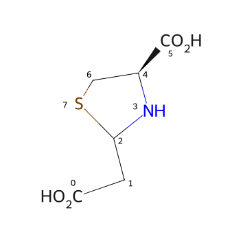 O=C(O)CC1N[C@H](C(=O)O)CS1